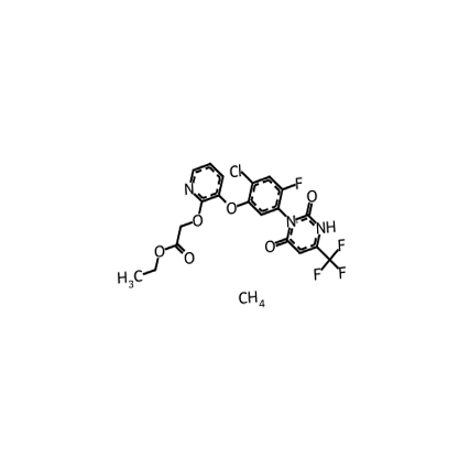 C.CCOC(=O)COc1ncccc1Oc1cc(-n2c(=O)cc(C(F)(F)F)[nH]c2=O)c(F)cc1Cl